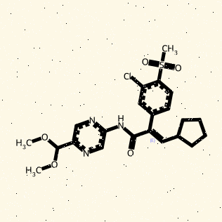 COC(OC)c1cnc(NC(=O)/C(=C/C2CCCC2)c2ccc(S(C)(=O)=O)c(Cl)c2)cn1